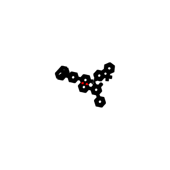 Cc1cc(-c2ccccc2)cc(-c2ccccc2)c1N(c1ccc(-c2ccc(C34CC5CC(CC(C5)C3)C4)cc2)cc1)c1ccc2c(c1)C(C)(C)c1ccccc1-2